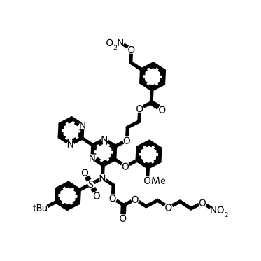 COc1ccccc1Oc1c(OCCOC(=O)c2cccc(CO[N+](=O)[O-])c2)nc(-c2ncccn2)nc1N(COC(=O)OCCOCCO[N+](=O)[O-])S(=O)(=O)c1ccc(C(C)(C)C)cc1